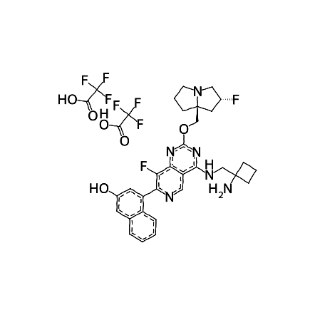 NC1(CNc2nc(OC[C@@]34CCCN3C[C@H](F)C4)nc3c(F)c(-c4cc(O)cc5ccccc45)ncc23)CCC1.O=C(O)C(F)(F)F.O=C(O)C(F)(F)F